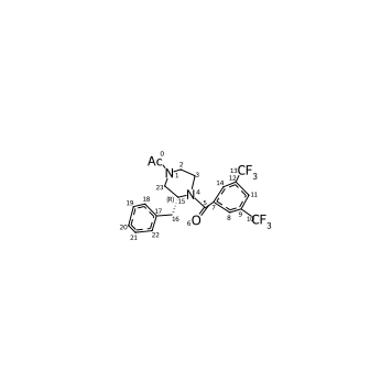 CC(=O)N1CCN(C(=O)c2cc(C(F)(F)F)cc(C(F)(F)F)c2)[C@H](Cc2ccccc2)C1